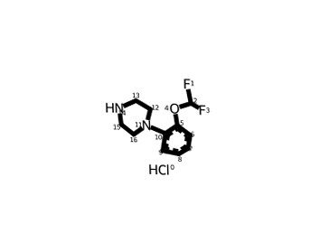 Cl.FC(F)Oc1ccccc1N1CCNCC1